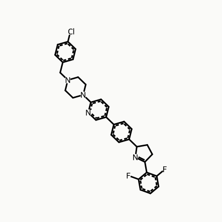 Fc1cccc(F)c1C1=NC(c2ccc(-c3ccc(N4CCN(Cc5ccc(Cl)cc5)CC4)nc3)cc2)CC1